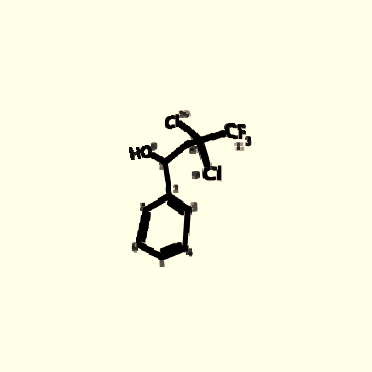 OC(c1ccccc1)C(Cl)(Cl)C(F)(F)F